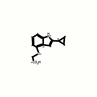 O=C(O)COc1c[c]cc2[nH]c(C3CC3)cc12